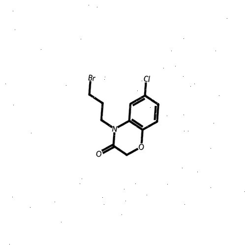 O=C1COc2ccc(Cl)cc2N1CCCBr